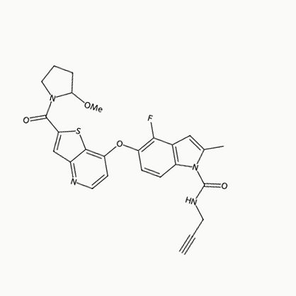 C#CCNC(=O)n1c(C)cc2c(F)c(Oc3ccnc4cc(C(=O)N5CCCC5OC)sc34)ccc21